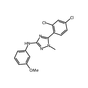 COc1cccc(Nc2nc(-c3ccc(Cl)cc3Cl)n(C)n2)c1